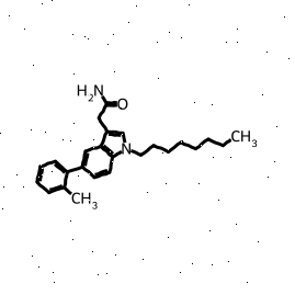 CCCCCCCCn1cc(CC(N)=O)c2cc(-c3ccccc3C)ccc21